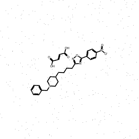 O=C(O)C=CC(=O)O.O=[N+]([O-])c1ccc(-c2nc(CCCCC3CCN(Cc4ccccc4)CC3)no2)cc1